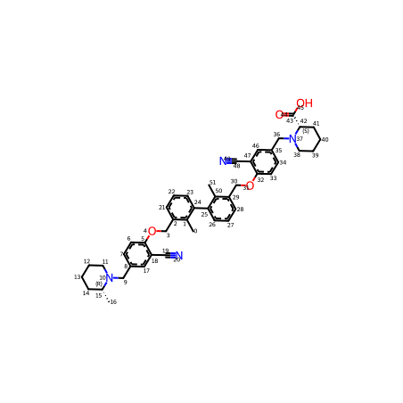 Cc1c(COc2ccc(CN3CCCC[C@H]3C)cc2C#N)cccc1-c1cccc(COc2ccc(CN3CCCC[C@H]3C(=O)O)cc2C#N)c1C